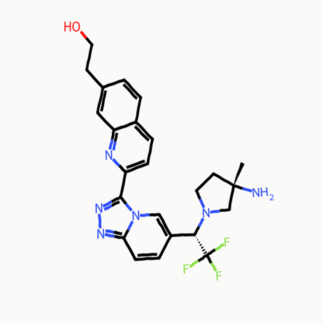 C[C@]1(N)CCN([C@@H](c2ccc3nnc(-c4ccc5ccc(CCO)cc5n4)n3c2)C(F)(F)F)C1